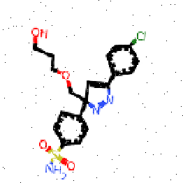 NS(=O)(=O)c1ccc(C2(COCCCO)C=C(c3ccc(Cl)cc3)N=N2)cc1